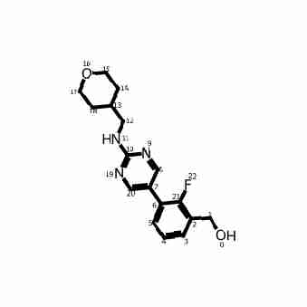 OCc1cccc(-c2cnc(NCC3CCOCC3)nc2)c1F